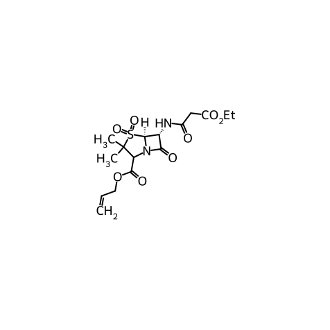 C=CCOC(=O)C1N2C(=O)[C@@H](NC(=O)CC(=O)OCC)[C@@H]2S(=O)(=O)C1(C)C